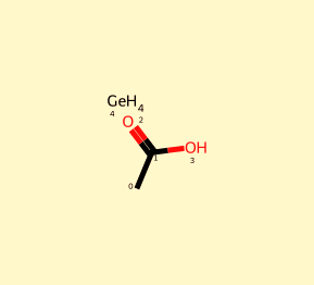 CC(=O)O.[GeH4]